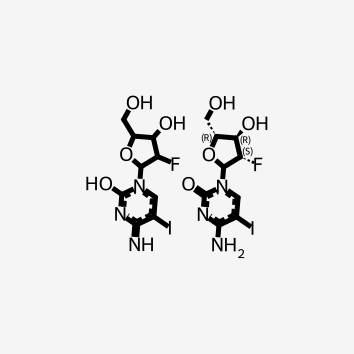 N=c1nc(O)n(C2OC(CO)C(O)C2F)cc1I.Nc1nc(=O)n(C2O[C@H](CO)[C@@H](O)[C@@H]2F)cc1I